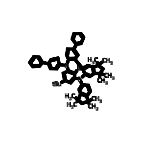 CC(C)(C)c1cc2c3c(c1)N(c1ccc4c(c1)C(C)(C)CC4(C)C)c1cc4c(cc1C(B3)c1cc(-c3ccccc3)ccc1N2c1ccc(-c2ccccc2)cc1)C(C)(C)CC4(C)C